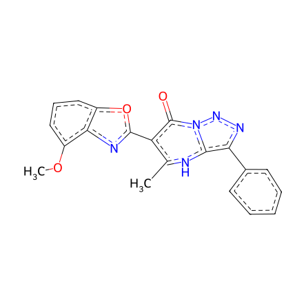 COc1cccc2oc(-c3c(C)[nH]c4c(-c5ccccc5)nnn4c3=O)nc12